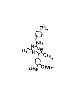 COc1ccc(-c2c(C)nn3c(NCc4ccc(C)cc4)nc(C)nc23)cc1OC